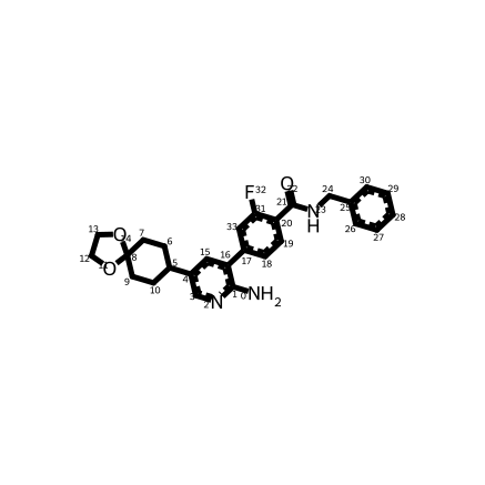 Nc1ncc(C2CCC3(CC2)OCCO3)cc1-c1ccc(C(=O)NCc2ccccc2)c(F)c1